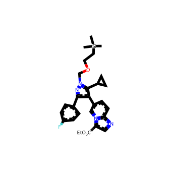 CCOC(=O)c1cnc2ccc(-c3c(-c4ccc(F)cc4)nn(COCC[Si](C)(C)C)c3C3CC3)cn12